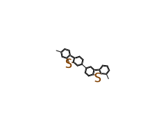 Cc1ccc2c(c1)sc1cc(-c3ccc4sc5c(C)cccc5c4c3)ccc12